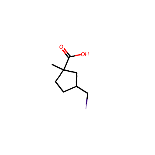 CC1(C(=O)O)CCC(CI)C1